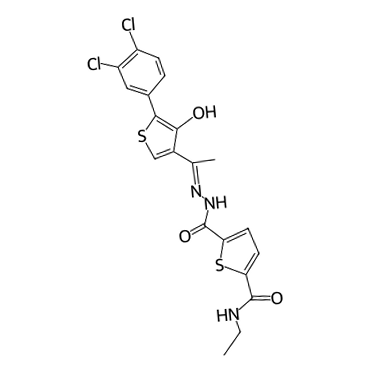 CCNC(=O)c1ccc(C(=O)N/N=C(\C)c2csc(-c3ccc(Cl)c(Cl)c3)c2O)s1